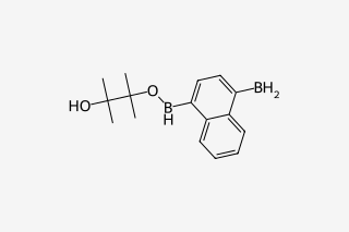 Bc1ccc(BOC(C)(C)C(C)(C)O)c2ccccc12